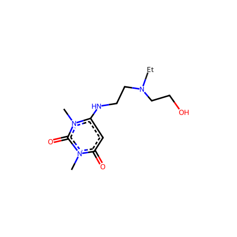 CCN(CCO)CCNc1cc(=O)n(C)c(=O)n1C